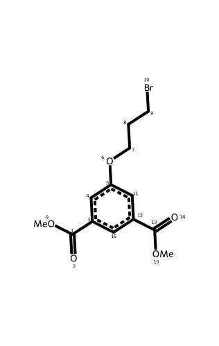 COC(=O)c1cc(OCCCBr)cc(C(=O)OC)c1